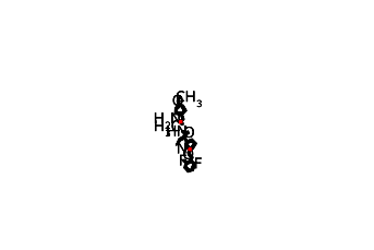 COc1ccc(CC(C)(N)CNC(=O)c2ccnc3c(OCc4c(F)cccc4F)cccc23)cc1